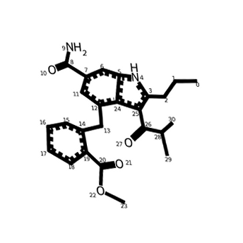 CCCc1[nH]c2cc(C(N)=O)cc(Cc3ccccc3C(=O)OC)c2c1C(=O)C(C)C